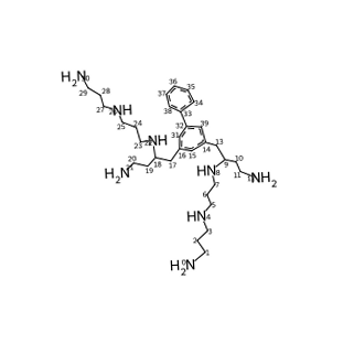 NCCCNCCCNC(CCN)Cc1cc(CC(CCN)NCCCNCCCN)cc(-c2ccccc2)c1